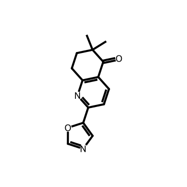 CC1(C)CCc2nc(-c3cnco3)ccc2C1=O